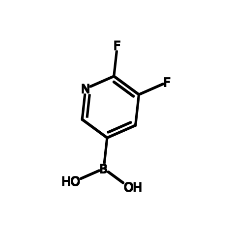 OB(O)c1cnc(F)c(F)c1